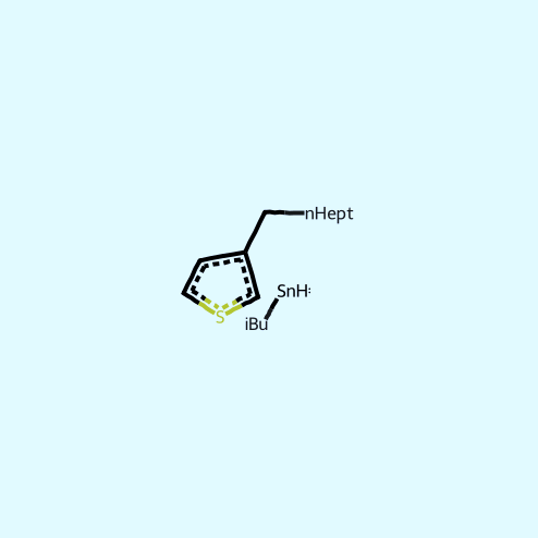 CCCCCCCCc1ccsc1.CC[CH](C)[SnH]